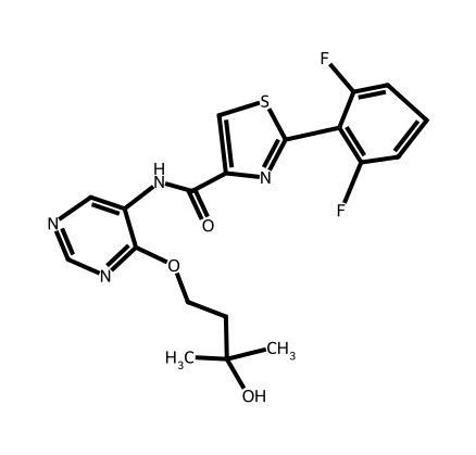 CC(C)(O)CCOc1ncncc1NC(=O)c1csc(-c2c(F)cccc2F)n1